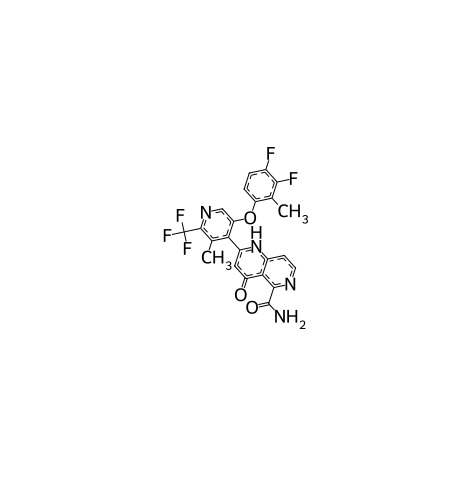 Cc1c(Oc2cnc(C(F)(F)F)c(C)c2-c2cc(=O)c3c(C(N)=O)nccc3[nH]2)ccc(F)c1F